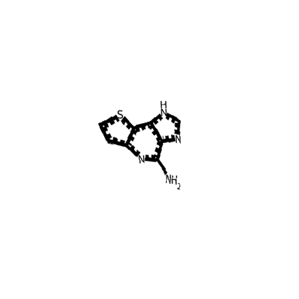 Nc1nc2ccsc2c2[nH]cnc12